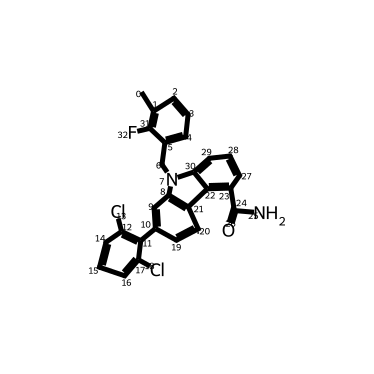 Cc1cccc(Cn2c3cc(-c4c(Cl)cccc4Cl)c[c]c3c3c(C(N)=O)cccc32)c1F